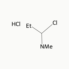 CCC(Cl)NC.Cl